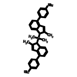 CC1=Cc2c(-c3ccc(C(C)(C)C)cc3)cccc2C1[Si](C)(C)C1C(C)=Cc2c(-c3ccc(C(C)(C)C)cc3)cccc21